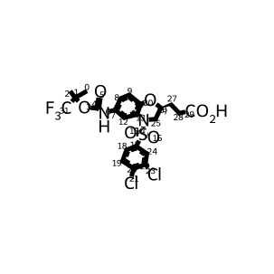 CC(C)(OC(=O)Nc1ccc2c(c1)N(S(=O)(=O)c1ccc(Cl)c(Cl)c1)C[C@H](CCC(=O)O)O2)C(F)(F)F